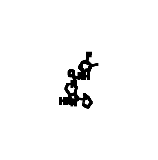 Cc1cc(NC(=O)N2CCc3[nH]nc(C45CCCC4C5)c3C2)ccc1F